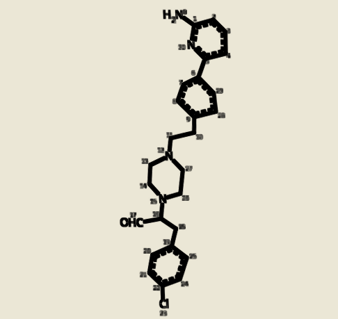 Nc1cccc(-c2ccc(CCN3CCN(C(C=O)Cc4ccc(Cl)cc4)CC3)cc2)n1